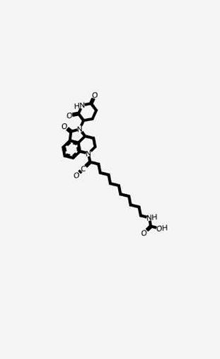 O=C=C(CCCCCCCCCCNC(=O)O)N1CCC2c3c(cccc31)C(=O)N2C1CCC(=O)NC1=O